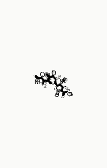 C=C(C(=C)[C@@H](C)[C@H](O)C(=C)N)C(=O)[C@H](C)C[C@H](C)[C@H](N=O)[C@@H](C)[C@H](N=O)C(=C)C=O